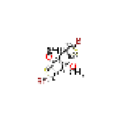 COc1c2cc3cc(Br)sc3c(OC)c2cc2cc(Br)sc12